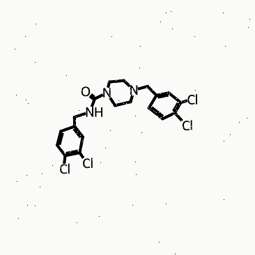 O=C(NCc1ccc(Cl)c(Cl)c1)N1CCN(Cc2ccc(Cl)c(Cl)c2)CC1